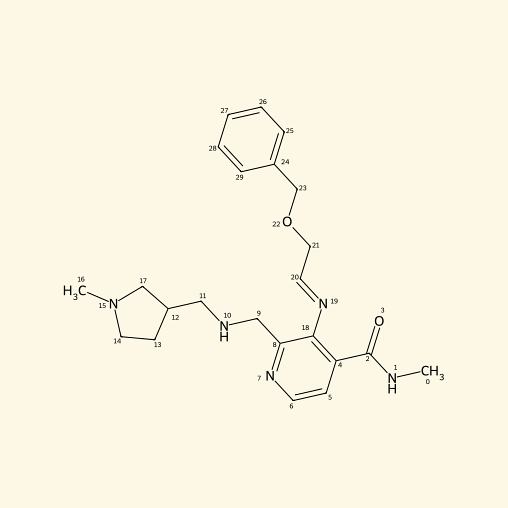 CNC(=O)c1ccnc(CNCC2CCN(C)C2)c1/N=C/COCc1ccccc1